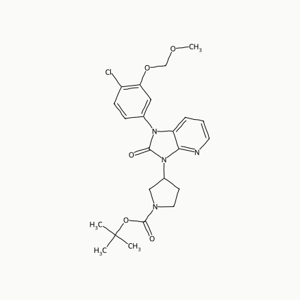 COCOc1cc(-n2c(=O)n(C3CCN(C(=O)OC(C)(C)C)C3)c3ncccc32)ccc1Cl